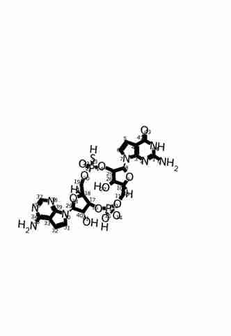 Nc1nc2c(ccn2[C@@H]2O[C@@H]3COP(=O)(O)OC4[C@@H](COP(=O)(S)OC2C3O)O[C@@H](n2ccc3c(N)ncnc32)[C@H]4O)c(=O)[nH]1